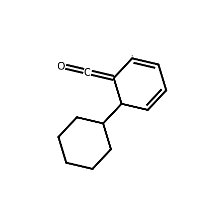 O=C=C1[C]=CC=CC1C1CCCCC1